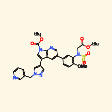 COc1ccc(-c2cnc3c(c2)c(-c2cnn(Cc4cccnc4)c2)cn3C(=O)OC(C)(C)C)cc1N(CC(=O)OC(C)(C)C)[SH](=O)=O